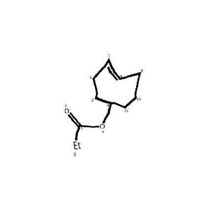 CCC(=O)OC1CC/C=C/CCC1